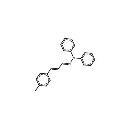 Cc1ccc(/C=C/C=N/N(c2ccccc2)c2ccccc2)cc1